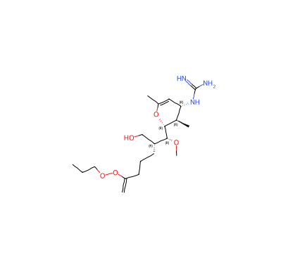 C=C(CCC[C@H](CO)[C@@H](OC)[C@@H]1OC(C)=C[C@H](NC(=N)N)[C@H]1C)OOCCC